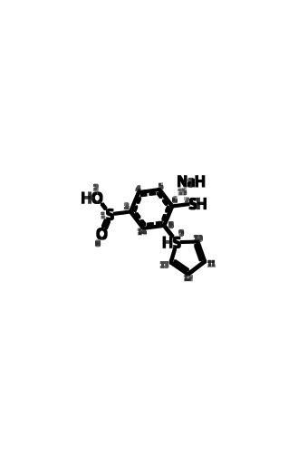 O=S(O)c1ccc(S)c([SH]2C=CC=C2)c1.[NaH]